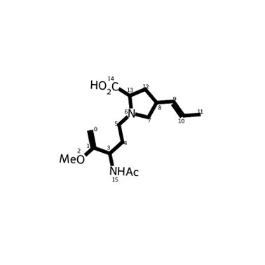 C=C(OC)C(CCN1CC(C=CC)CC1C(=O)O)NC(C)=O